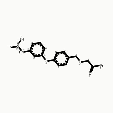 CC(C)C(=O)COCc1ccc(Oc2cccc(N[SH](C)S)c2)cc1